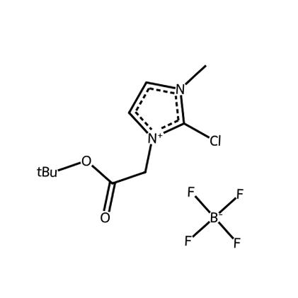 Cn1cc[n+](CC(=O)OC(C)(C)C)c1Cl.F[B-](F)(F)F